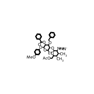 CCC1O[C@@H](Oc2ccc(OC)cc2)[C@@H](OC(=O)c2ccccc2)C(OCc2ccccc2)[C@@H]1O[C@@H]1OC(COC(C)=O)[C@@H](C)[C@H](C)C1N=[N+]=[N-]